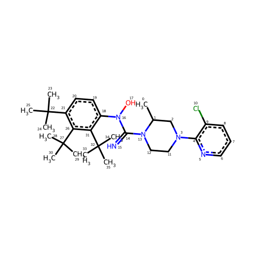 CC1CN(c2ncccc2Cl)CCN1C(=N)N(O)c1ccc(C(C)(C)C)c(C(C)(C)C)c1C(C)(C)C